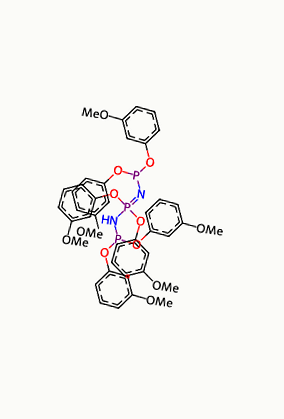 COc1cccc(OP(N=P(NP(Oc2cccc(OC)c2)Oc2cccc(OC)c2)(Oc2cccc(OC)c2)Oc2cccc(OC)c2)Oc2cccc(OC)c2)c1